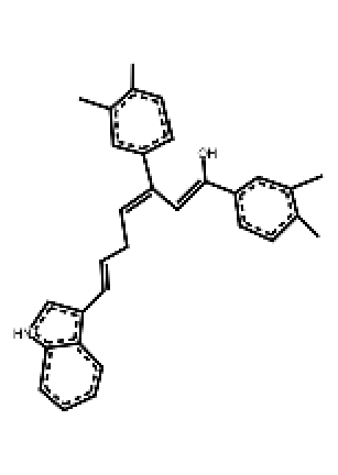 Cc1ccc(/C(O)=C/C(=C\C/C=C/c2c[nH]c3ccccc23)c2ccc(C)c(C)c2)cc1C